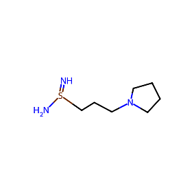 N=S(N)CCCN1CCCC1